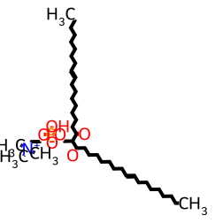 CCCCCCCCC=CCCCCCCCC(=O)C(COP(=O)(O)OCC[N+](C)(C)C)C(=O)CCCCCCCC=CCCCCCCCC